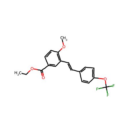 CCOC(=O)c1ccc(OC)c(/C=C/c2ccc(OC(F)(F)F)cc2)c1